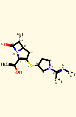 C=C(O)C1=C(SC2CCN(/C(C)=N/C)C2)CC2[C@@H](CC)C(=O)N12